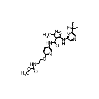 COC(=O)NCCOc1ccc(NC(=O)c2c(C)nsc2Nc2cncc(C(F)(F)F)n2)cn1